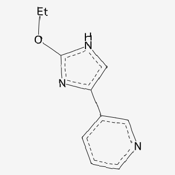 CCOc1nc(-c2cccnc2)c[nH]1